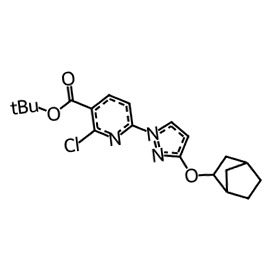 CC(C)(C)OC(=O)c1ccc(-n2ccc(OC3CC4CCC3C4)n2)nc1Cl